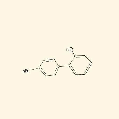 CCCCc1ccc(-c2ccccc2O)cc1